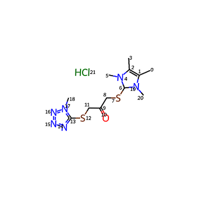 CC1=C(C)N(C)C(SCC(=O)CSc2nnnn2C)N1C.Cl